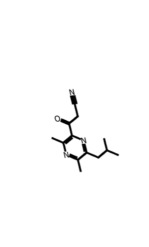 Cc1nc(C)c(C(=O)CC#N)nc1CC(C)C